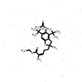 CCOC(=O)/C(C)=C\CCC1(C)Cc2c(cc(C(C)(C)C)c(OC(C)=O)c2C(C)(C)C)O1